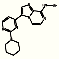 CC(C)Nc1nccn2c(-c3ccnc(N4CCCCC4)n3)cnc12